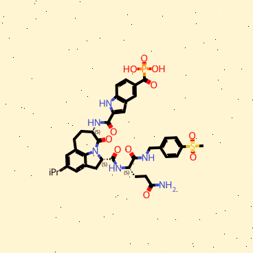 CC(C)c1cc2c3c(c1)C[C@@H](C(=O)N[C@@H](CCC(N)=O)C(=O)NCc1ccc(S(C)(=O)=O)cc1)N3C(=O)[C@@H](NC(=O)c1cc3cc(C(=O)P(=O)(O)O)ccc3[nH]1)CC2